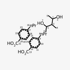 CC(O)C(C)C(C)O.CCCc1ccc(C(=O)O)cc1.CCCc1ccc(C(=O)O)cc1